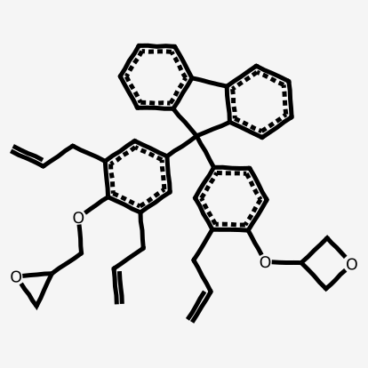 C=CCc1cc(C2(c3cc(CC=C)c(OCC4CO4)c(CC=C)c3)c3ccccc3-c3ccccc32)ccc1OC1COC1